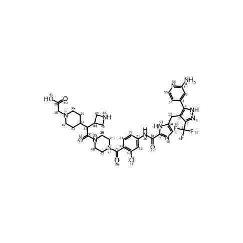 Nc1cc(-c2[nH]nc(C(F)(F)F)c2Cc2cnc(C(=O)Nc3ccc(C(=O)N4CCN(C(=O)C(C5CCN(CC(=O)O)CC5)C5CNC5)CC4)c(Cl)c3)[nH]2)ccn1